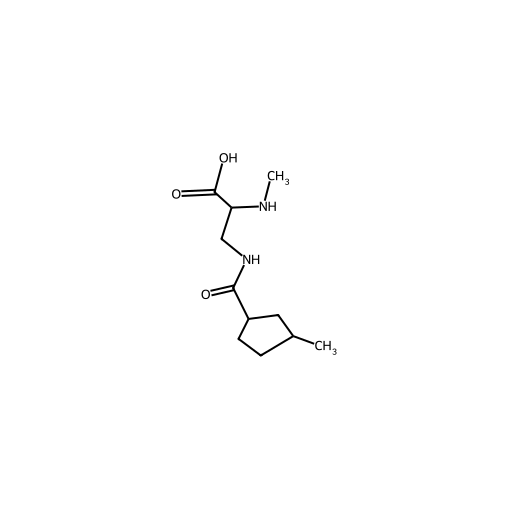 CNC(CNC(=O)C1CCC(C)C1)C(=O)O